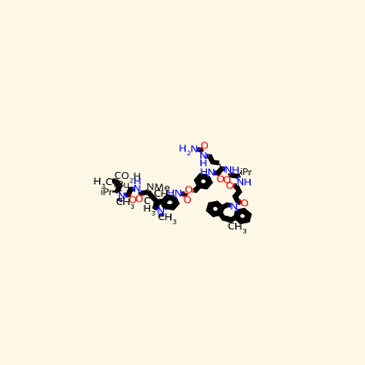 CNC(C(=O)N[C@H](C(=O)N(C)[C@H](/C=C(\C)C(=O)O)C(C)C)C(C)(C)C)C(C)(C)c1cn(C)c2ccc(NC(=O)OCc3ccc(NC(=O)[C@H](CCCNC(N)=O)NC(=O)[C@@H](NC(=O)CCC(=O)N4Cc5ccccc5/C=C(/C)c5ccccc54)C(C)C)cc3)cc12